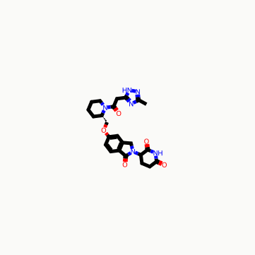 Cc1n[nH]c(CC(=O)N2CCCC[C@H]2COc2ccc3c(c2)CN(C2CCC(=O)NC2=O)C3=O)n1